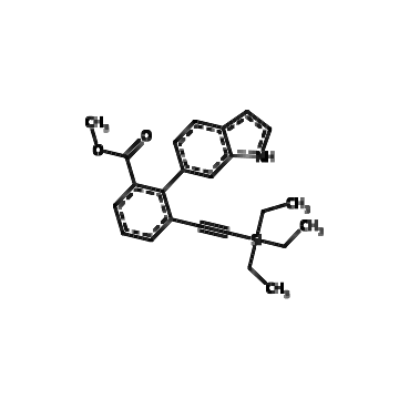 CC[Si](C#Cc1cccc(C(=O)OC)c1-c1ccc2cc[nH]c2c1)(CC)CC